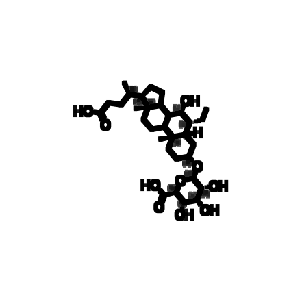 CC[C@H]1[C@@H](O)C2C3CC[C@H]([C@H](C)CCC(=O)O)[C@@]3(C)CCC2[C@@]2(C)CC[C@@H](O[C@@H]3O[C@H](C(=O)O)[C@@H](O)[C@H](O)[C@H]3O)C[C@@H]12